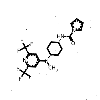 CN(c1cc(C(F)(F)F)nc(C(F)(F)F)c1)[C@H]1CC[C@@H](NC(=O)n2cccc2)CC1